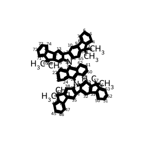 CC1(C)c2ccccc2-c2cc3c4cc5c(cc4n(-c4c6ccccc6c(-n6c7cc8c(cc7c7cc9c(cc76)C(C)(C)c6ccccc6-9)-c6ccccc6C8(C)C)c6ccccc46)c3cc21)C(C)(C)c1ccccc1-5